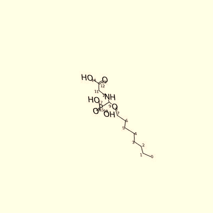 CCCCCCCCOC(NCC(=O)O)P(=O)(O)O